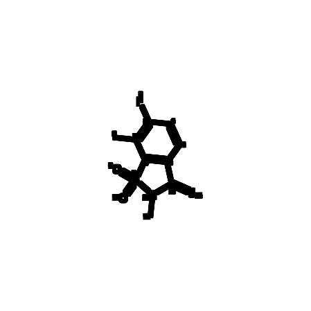 Cc1c(F)ccc2c1S(=O)(=O)N(C)C2=S